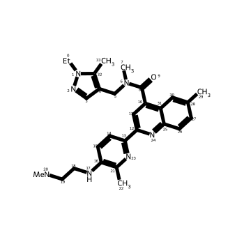 CCn1ncc(CN(C)C(=O)c2cc(-c3ccc(NCCNC)c(C)n3)nc3ccc(C)cc23)c1C